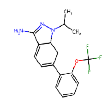 CC(C)N1N=C(N)C2=CC=C(c3ccccc3OC(F)(F)F)CC21